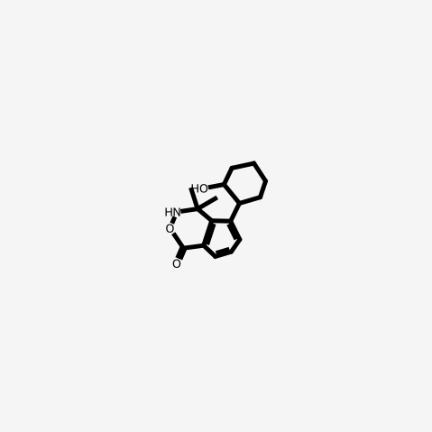 CC1(C)NOC(=O)c2cccc(C3CCCCC3O)c21